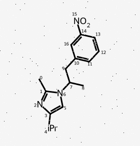 Cc1nc(C(C)C)cn1C(C)Cc1cccc([N+](=O)[O-])c1